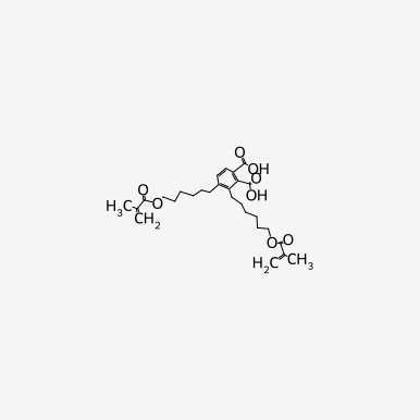 C=C(C)C(=O)OCCCCCCc1ccc(C(=O)O)c(C(=O)O)c1CCCCCCOC(=O)C(=C)C